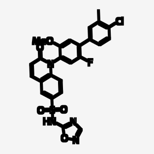 COc1cc(-c2ccc(Cl)c(C)c2)c(F)cc1-n1c(=O)ccc2cc(S(=O)(=O)Nc3ncno3)ccc21